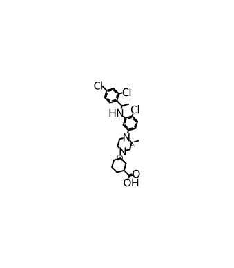 CC(Nc1cc(N2CCN([C@H]3CCCC(C(=O)O)C3)C[C@@H]2C)ccc1Cl)c1ccc(Cl)cc1Cl